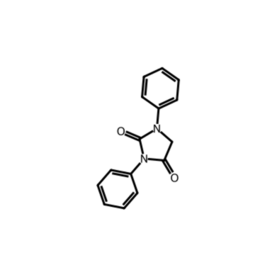 O=C1CN(c2ccccc2)C(=O)N1c1ccccc1